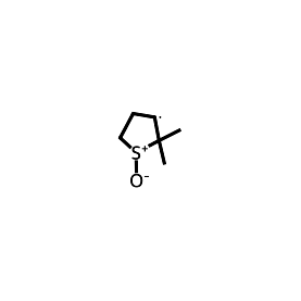 CC1(C)[CH]CC[S+]1[O-]